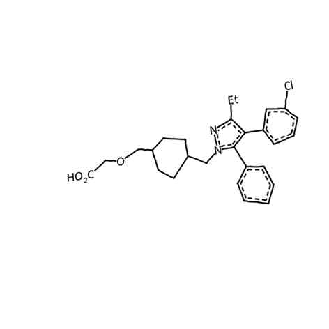 CCc1nn(CC2CCC(COCC(=O)O)CC2)c(-c2ccccc2)c1-c1cccc(Cl)c1